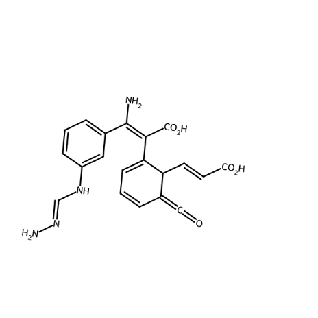 NN=CNc1cccc(C(N)=C(C(=O)O)C2=CC=CC(=C=O)C2C=CC(=O)O)c1